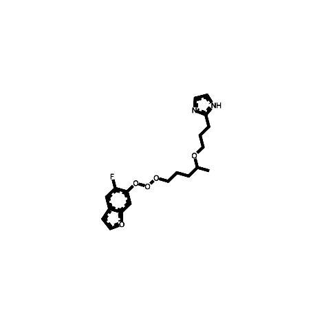 CC(CCCOOOc1cc2occc2cc1F)OCCCc1ncc[nH]1